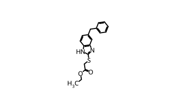 CCOC(=O)CSc1nc2cc(Cc3ccccc3)ccc2[nH]1